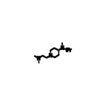 CC(C)N(C)C1CCN(CCN(C)C)CC1